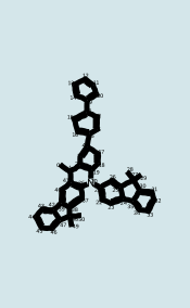 CC1c2cc(-c3ccc(-c4ccccc4)cc3)ccc2N(c2ccc3c(c2)C(C)(C)c2ccccc2-3)c2cc3c(cc21)-c1ccccc1C3(C)C